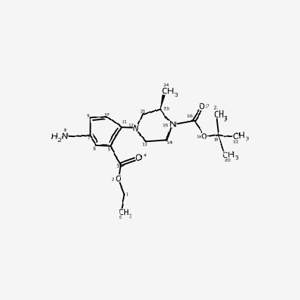 CCOC(=O)c1cc(N)ccc1N1CCN(C(=O)OC(C)(C)C)[C@H](C)C1